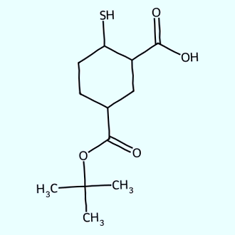 CC(C)(C)OC(=O)C1CCC(S)C(C(=O)O)C1